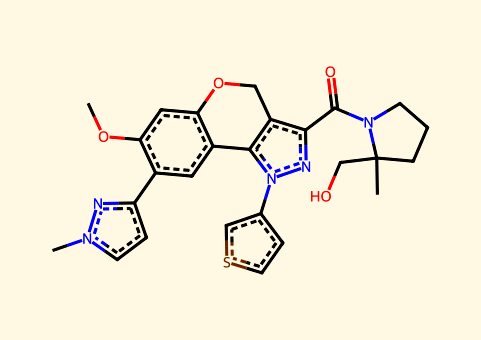 COc1cc2c(cc1-c1ccn(C)n1)-c1c(c(C(=O)N3CCCC3(C)CO)nn1-c1ccsc1)CO2